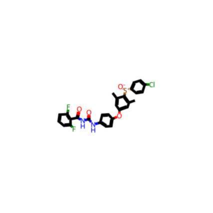 Cc1cc(Oc2ccc(NC(=O)NC(=O)c3c(F)cccc3F)cc2)cc(C)c1[S+]([O-])c1ccc(Cl)cc1